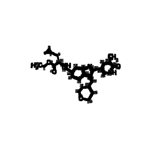 CCOC(=O)[C@H](CC1CC1)NCc1ccc2c(c1)nc(-c1c[nH]c(=O)c(C)c1)n2CC1CCOCC1